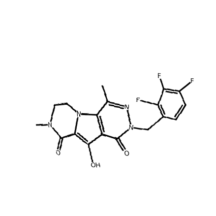 Cc1nn(Cc2ccc(F)c(F)c2F)c(=O)c2c(O)c3n(c12)CCN(C)C3=O